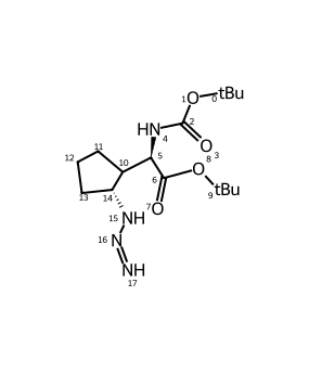 CC(C)(C)OC(=O)N[C@@H](C(=O)OC(C)(C)C)C1CCC[C@H]1NN=N